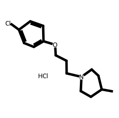 CC1CCN(CCCOc2ccc(Cl)cc2)CC1.Cl